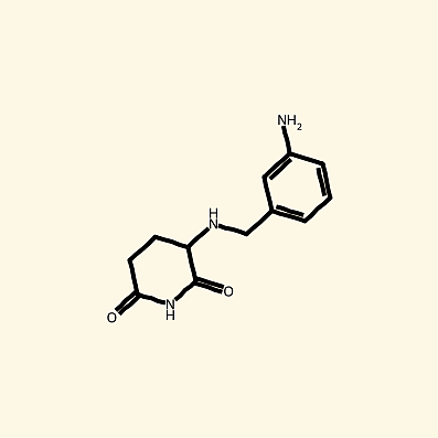 Nc1cccc(CNC2CCC(=O)NC2=O)c1